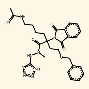 CC(=N)NCCCCC(CCOCc1ccccc1)(C(=O)N(C)Nc1nnn[nH]1)N1C(=O)c2ccccc2C1=O